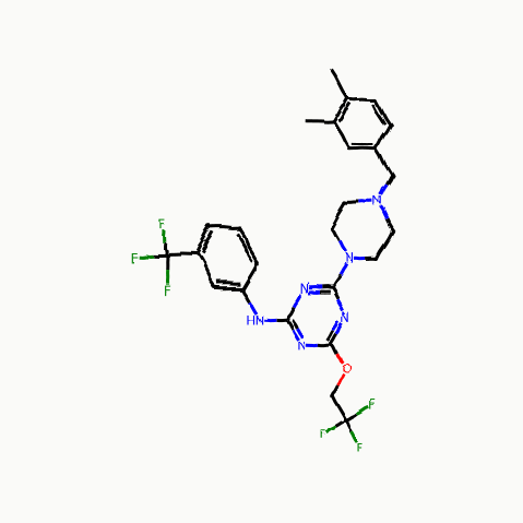 Cc1ccc(CN2CCN(c3nc(Nc4cccc(C(F)(F)F)c4)nc(OCC(F)(F)F)n3)CC2)cc1C